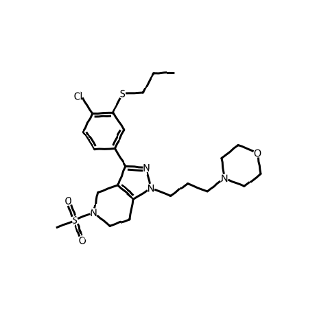 CCCSc1cc(-c2nn(CCCN3CCOCC3)c3c2CN(S(C)(=O)=O)CC3)ccc1Cl